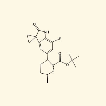 C[C@H]1CCC(c2cc(F)c3c(c2)C2(CC2)C(=O)N3)N(C(=O)OC(C)(C)C)C1